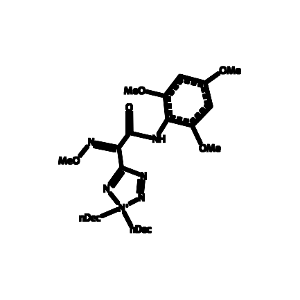 CCCCCCCCCC[N+]1(CCCCCCCCCC)N=NC(/C(=N\OC)C(=O)Nc2c(OC)cc(OC)cc2OC)=N1